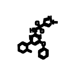 CC1CCCC=C1c1cc(Oc2ccccc2)nc(NS(=O)(=O)c2cnn(C)c2)n1